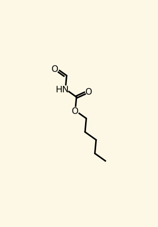 CCCCCOC(=O)NC=O